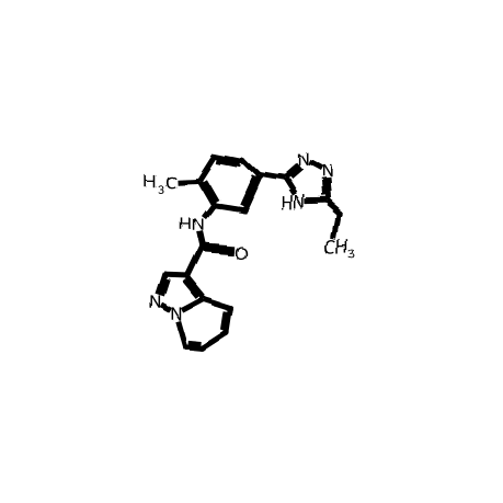 CCc1nnc(-c2ccc(C)c(NC(=O)c3cnn4ccccc34)c2)[nH]1